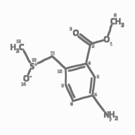 COC(=O)c1cc(N)ccc1C[S+](C)[O-]